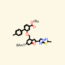 COc1cc(COc2cc(C(=O)OC(C)(C)C)ccc2-c2ccc(C)cc2)c2cc(-c3cn4nc(C)sc4n3)oc2c1